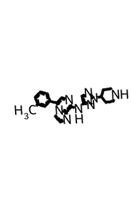 Cc1cccc(-c2cnc(Nc3cnn(C4CCNCC4)n3)c3nccn23)c1